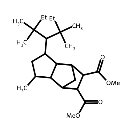 CCC(C)(C)C(C1CC(C)C2C3CC(C(C(=O)OC)C3C(=O)OC)C12)C(C)(C)CC